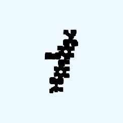 C=C(C)C(=O)Oc1ccc(OCc2ccc(OC(=O)C(=C)C)cc2OC)cc1